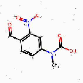 CN(C(=O)O)c1ccc(C=O)c([N+](=O)[O-])c1